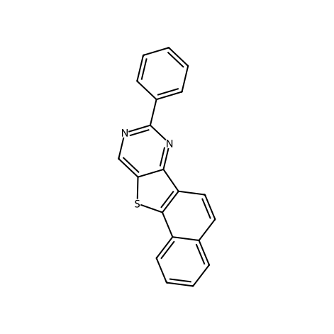 c1ccc(-c2ncc3sc4c5ccccc5ccc4c3n2)cc1